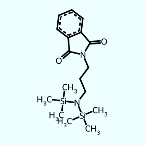 C[Si](C)(C)N(CCCN1C(=O)c2ccccc2C1=O)[Si](C)(C)C